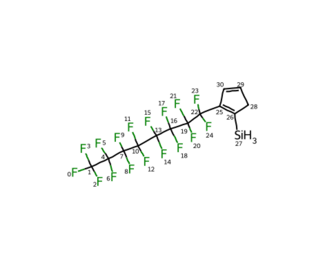 FC(F)(F)C(F)(F)C(F)(F)C(F)(F)C(F)(F)C(F)(F)C(F)(F)C(F)(F)C1=C([SiH3])CC=C1